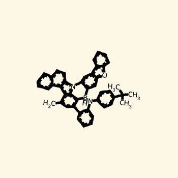 Cc1cc(-c2ccccc2Nc2ccc(C(C)(C)C)cc2)c2c3c1c1c4ccccc4ccc1n3-c1cc3c(cc1B2)oc1ccccc13